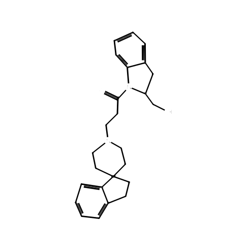 O=C(CCN1CCC2(CCc3ccccc32)CC1)N1c2ccccc2CC1CO